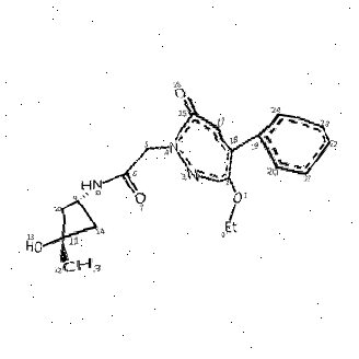 CCOc1nn(CC(=O)N[C@H]2C[C@@](C)(O)C2)c(=O)cc1-c1ccccc1